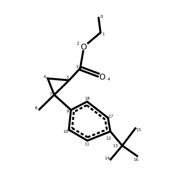 CCOC(=O)C1CC1(C)c1ccc(C(C)(C)C)cc1